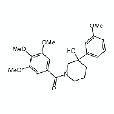 COc1cccc(C2(O)CCCN(C(=O)c3cc(OC)c(OC)c(OC)c3)C2)c1